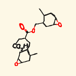 CC1CC2OC2CC1COC(=O)C(CC(=O)O)CC1CC2OC2CC1C